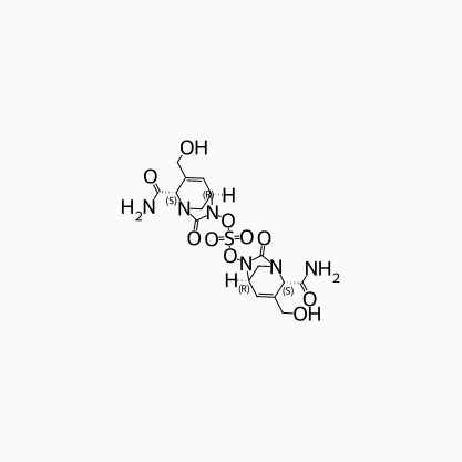 NC(=O)[C@@H]1C(CO)=C[C@@H]2CN1C(=O)N2OS(=O)(=O)ON1C(=O)N2C[C@H]1C=C(CO)[C@H]2C(N)=O